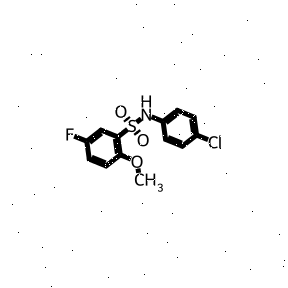 COc1ccc(F)cc1S(=O)(=O)Nc1ccc(Cl)cc1